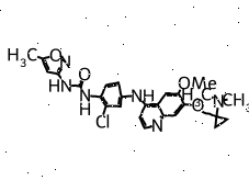 COc1cc2c(Nc3ccc(NC(=O)Nc4cc(C)on4)c(Cl)c3)ccnc2cc1OCC1(N(C)C)CC1